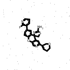 NC1=NC2(CS1)c1cc(-c3cccnc3F)ccc1Oc1cnc(C3=CCCOC3)cc12